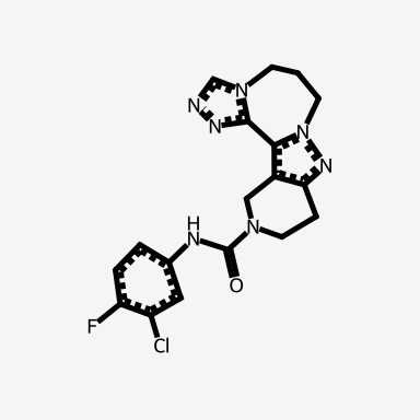 O=C(Nc1ccc(F)c(Cl)c1)N1CCc2nn3c(c2C1)-c1nncn1CCC3